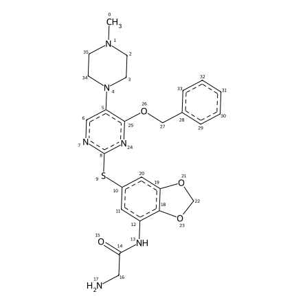 CN1CCN(c2cnc(Sc3cc(NC(=O)CN)c4c(c3)OCO4)nc2OCc2ccccc2)CC1